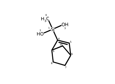 C[Si](O)(O)C1=CC2CCC1C2